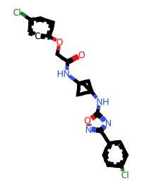 O=C(COc1ccc(Cl)cc1)NC12CC(Nc3nc(-c4ccc(Cl)cc4)no3)(C1)C2